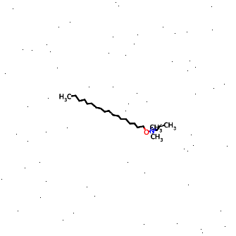 CCCCCCCCCCCCCCCCCCO[N+](C)(C)CCC